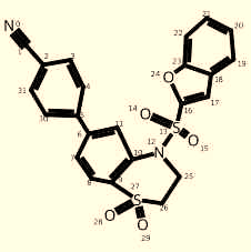 N#Cc1ccc(-c2ccc3c(c2)N(S(=O)(=O)c2cc4ccccc4o2)CCS3(=O)=O)cc1